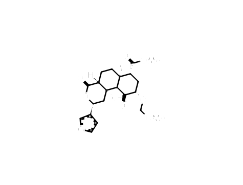 COCO[C@H]1C[C@@H](C(=O)OC)[C@]2(C)CC[C@H]3C(=O)O[C@H](c4ccoc4)C[C@]3(C)C2C1=O